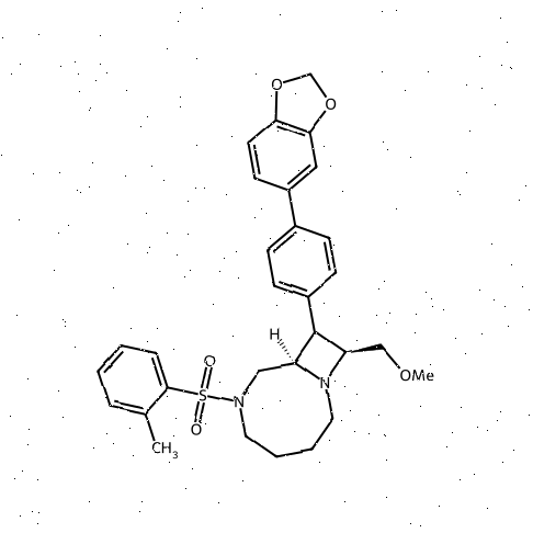 COC[C@@H]1C(c2ccc(-c3ccc4c(c3)OCO4)cc2)[C@@H]2CN(S(=O)(=O)c3ccccc3C)CCCCN12